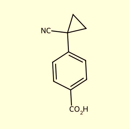 N#CC1(c2ccc(C(=O)O)cc2)CC1